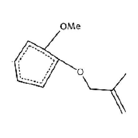 C=C(C)COc1cc[c]cc1OC